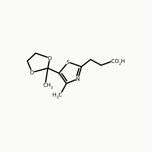 Cc1nc(CCC(=O)O)sc1C1(C)OCCO1